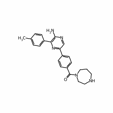 Cc1ccc(-c2nc(-c3ccc(C(=O)N4CCCNCC4)cc3)cnc2N)cc1